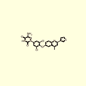 Cc1cc(-c2ccsc2)nc2ccc(Oc3c(Cl)cc(-n4nc(N)c(=O)[nH]c4=O)cc3Cl)cc12